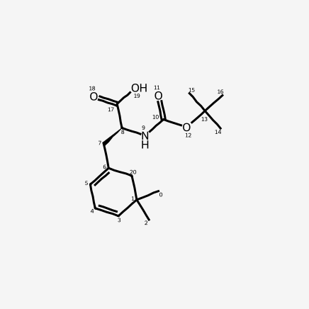 CC1(C)C=CC=C(C[C@H](NC(=O)OC(C)(C)C)C(=O)O)C1